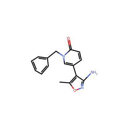 Cc1onc(N)c1-c1ccc(=O)n(Cc2ccccc2)c1